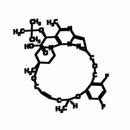 Cc1nc2cc3nn2c(c1[C@H](OC(C)(C)C)C(=O)O)N1CCC(C)(CC1)OCC=CC[C@H](C)Oc1cc(F)cc(F)c1COC3